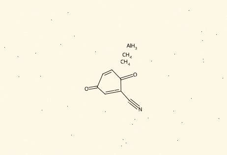 C.C.N#CC1=CC(=O)C=CC1=O.[AlH3]